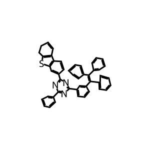 C1=Cc2c(sc3cc(-c4nc(-c5ccccc5)nc(-c5cccc(C(=C(c6ccccc6)c6ccccc6)c6ccccc6)c5)n4)ccc23)CC1